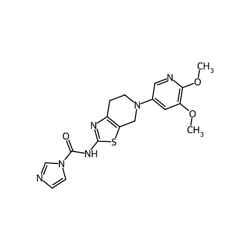 COc1cc(N2CCc3nc(NC(=O)n4ccnc4)sc3C2)cnc1OC